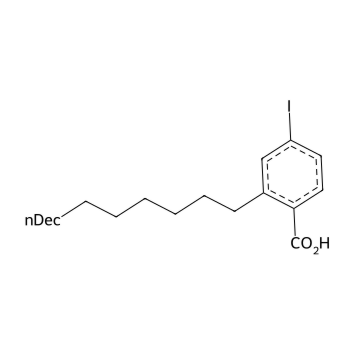 CCCCCCCCCCCCCCCCc1cc(I)ccc1C(=O)O